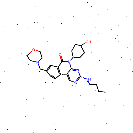 CCCCNc1ncc2c3ccc(CN4CCOCC4)cc3c(=O)n(C3CCC(O)CC3)c2n1